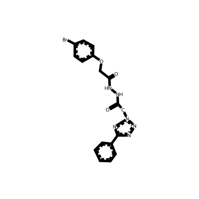 O=C(COc1ccc(Br)cc1)NNC(=O)Cn1nnc(-c2ccccc2)n1